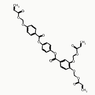 C=CC(=O)OCOc1ccc(C(=O)Oc2ccc(OC(=O)c3ccc(OCOC(=O)C=C)c(OCOC(=O)C=C)c3)cc2)cc1